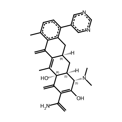 C=C(N)C1=C(O)[C@@H](N(C)C)[C@@H]2C[C@@H]3Cc4c(-c5cncnc5)ccc(C)c4C(=C)C3=C(C)[C@]2(O)C1=C